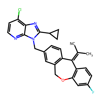 C/C(C#N)=C1/c2ccc(Cn3c(C4CC4)nc4c(Cl)ccnc43)cc2COc2cc(F)ccc21